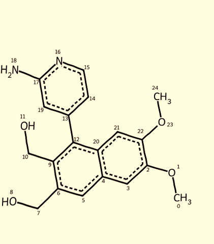 COc1cc2cc(CO)c(CO)c(-c3ccnc(N)c3)c2cc1OC